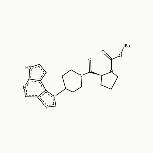 CC(C)(C)OC(=O)N1CCC[C@H]1C(=O)N1CCC(n2cnc3cnc4[nH]ccc4c32)CC1